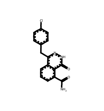 NC(=O)c1[c]ccc2c(Cc3ccc(Cl)cc3)n[nH]c(=O)c12